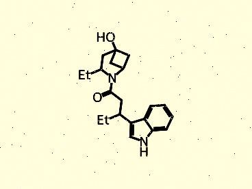 CCC(CC(=O)N1C(CC)CC2(O)CC1C2)c1c[nH]c2ccccc12